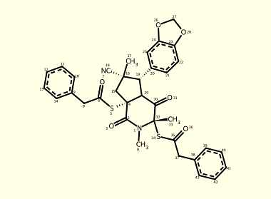 CN1C(=O)[C@@]2(SC(=O)Cc3ccccc3)C[C@](C)(C#N)[C@H](c3ccc4c(c3)OCO4)C2C(=O)[C@]1(C)SC(=O)Cc1ccccc1